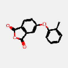 Cc1ccccc1Oc1ccc2c(c1)C(=O)OC2=O